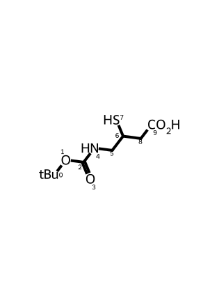 CC(C)(C)OC(=O)NCC(S)CC(=O)O